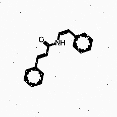 O=C(/C=C/c1ccccc1)N/C=C\c1ccccc1